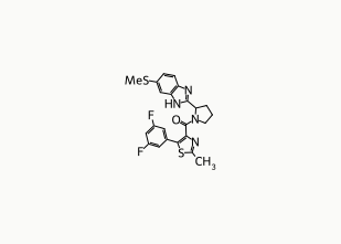 CSc1ccc2nc(C3CCCN3C(=O)c3nc(C)sc3-c3cc(F)cc(F)c3)[nH]c2c1